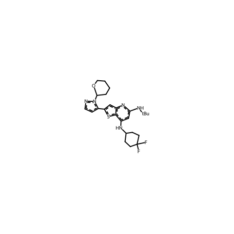 CC(C)(C)Nc1cc(NC2CCC(F)(F)CC2)c2sc(-c3ccnn3C3CCCCO3)cc2n1